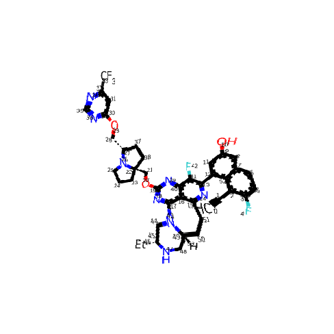 C#Cc1c(F)ccc2cc(O)cc(-c3nc4c5c(nc(OC[C@@]67CCCN6[C@H](COc6cc(C(F)(F)F)ncn6)CC7)nc5c3F)N3C[C@@H](CC)NC[C@H]3CC4)c12